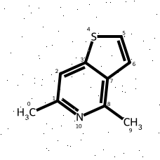 Cc1cc2s[c]cc2c(C)n1